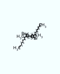 CCCCCCCC(C)c1cc(-c2cc(C(C)CCCCCCC)c(Br)s2)sc1Br